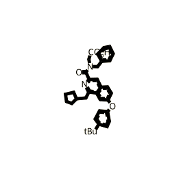 CC(C)(C)c1ccc(Oc2ccc3cc(C(=O)N(CC(=O)O)Cc4ccccc4)nc(CC4CCCC4)c3c2)cc1